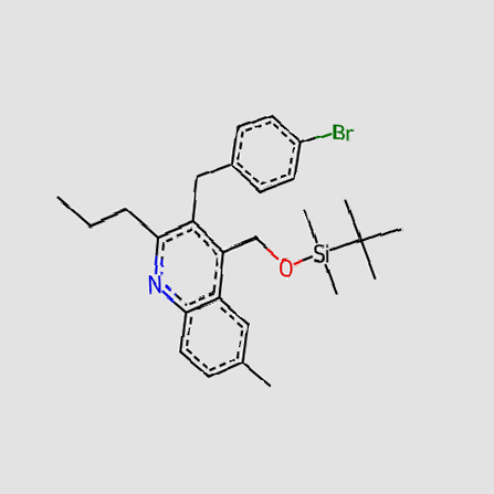 CCCc1nc2ccc(C)cc2c(CO[Si](C)(C)C(C)(C)C)c1Cc1ccc(Br)cc1